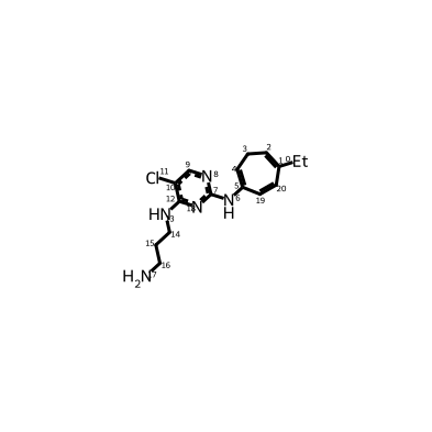 CCC1=CCC=C(Nc2ncc(Cl)c(NCCCN)n2)C=C1